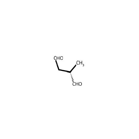 C[C@H](C=O)CC=O